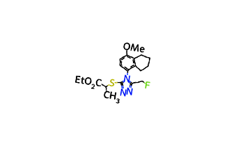 CCOC(=O)C(C)Sc1nnc(CF)n1-c1ccc(OC)c2c1CCCC2